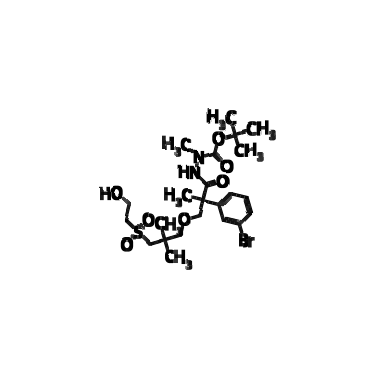 CN(NC(=O)C(C)(COCC(C)(C)CS(=O)(=O)CCO)c1cccc(Br)c1)C(=O)OC(C)(C)C